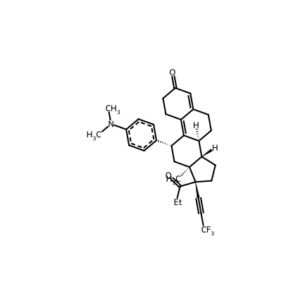 CCC(=O)[C@@]1(C#CC(F)(F)F)CC[C@H]2[C@@H]3CCC4=CC(=O)CCC4=C3[C@@H](c3ccc(N(C)C)cc3)C[C@@]21C